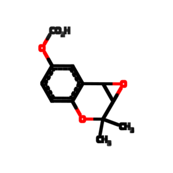 CC1(C)Oc2ccc(OC(=O)O)cc2C2OC21